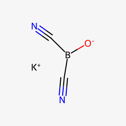 N#CB([O-])C#N.[K+]